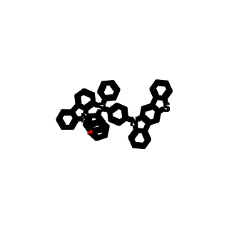 c1ccc(-n2c3ccccc3c3cccc([Si](c4ccccc4)(c4ccccc4)c4ccc(-n5c6ccccc6c6cc7sc8ccccc8c7cc65)cc4)c32)cc1